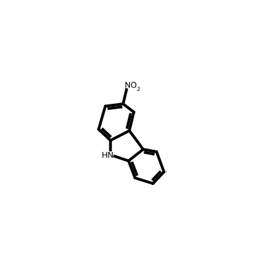 O=[N+]([O-])c1ccc2[nH]c3cc[c]cc3c2c1